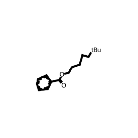 CC(C)(C)CCCCCOC(=O)c1ccccc1